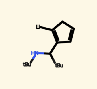 [Li][C]1=C(C(NC(C)(C)C)C(C)(C)C)C=CC1